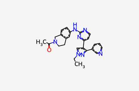 CCn1cc(-c2ccnc(Nc3ccc4c(c3)CCN(C(C)=O)C4)n2)c(-c2cccnc2)n1